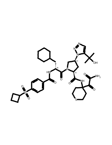 CC(C)(O)c1cnnn1[C@H]1C[C@@H](C(=O)NC2(C(=O)C(N)=O)CCSCC2)N(C(=O)[C@@H](CC2CCCCC2)NC(=O)c2ccc(S(=O)(=O)C3CCC3)cc2)C1